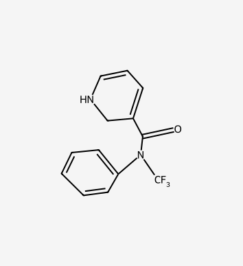 O=C(C1=CC=CNC1)N(c1ccccc1)C(F)(F)F